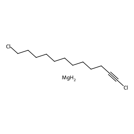 ClC#CCCCCCCCCCCCl.[MgH2]